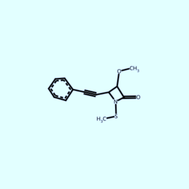 COC1C(=O)N(SC)C1C#Cc1ccccc1